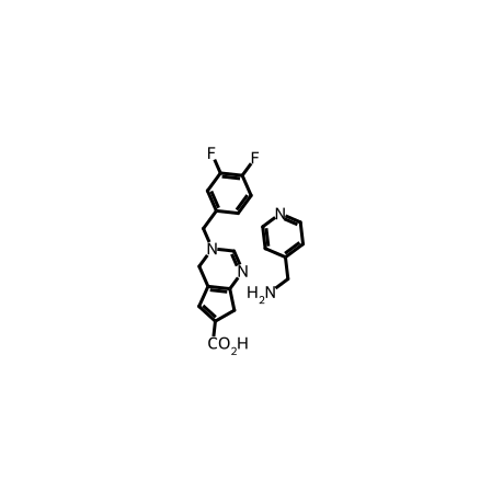 NCc1ccncc1.O=C(O)C1=CC2=C(C1)N=CN(Cc1ccc(F)c(F)c1)C2